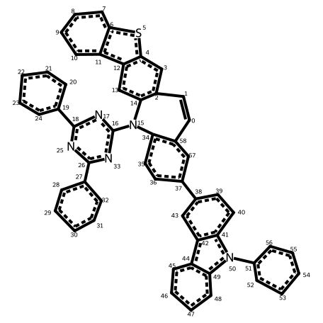 C1=Cc2cc3sc4ccccc4c3cc2N(c2nc(-c3ccccc3)nc(-c3ccccc3)n2)c2ccc(-c3ccc4c(c3)c3ccccc3n4-c3ccccc3)cc21